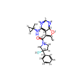 Cc1oc2ncnc(NC3(C)CC3)c2c1C(=O)N1CCC(F)(c2ccccc2)C1